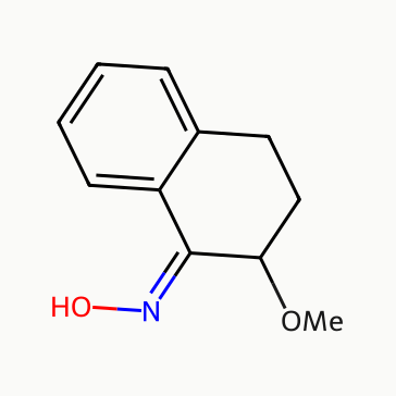 COC1CCc2ccccc2C1=NO